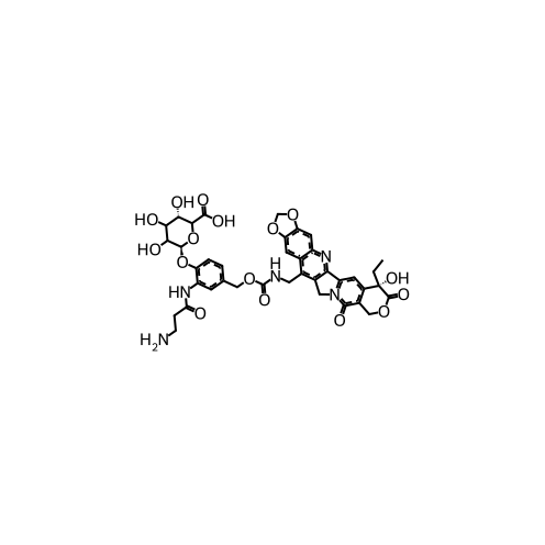 CC[C@@]1(O)C(=O)OCc2c1cc1n(c2=O)Cc2c-1nc1cc3c(cc1c2CNC(=O)OCc1ccc(O[C@@H]2OC(C(=O)O)[C@@H](O)C(O)C2O)c(NC(=O)CCN)c1)OCO3